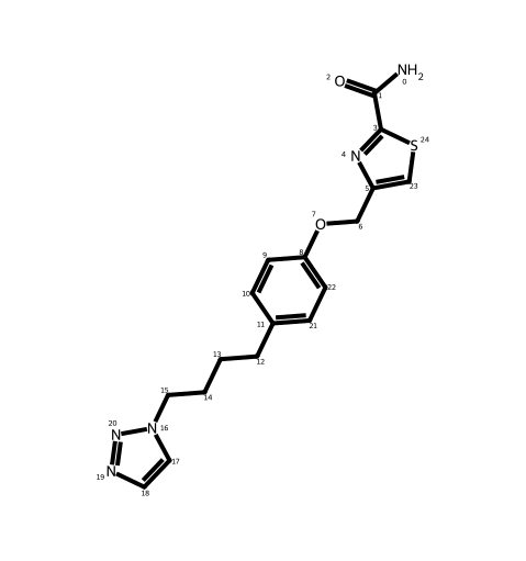 NC(=O)c1nc(COc2ccc(CCCCn3ccnn3)cc2)cs1